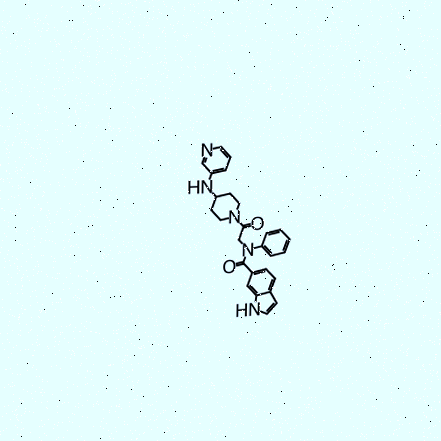 O=C(CN(C(=O)c1ccc2cc[nH]c2c1)c1ccccc1)N1CCC(Nc2cccnc2)CC1